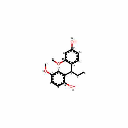 CCC(c1cc(OC)ccc1O)c1ccc(O)cc1OC